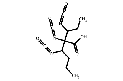 CCCC(N=C=O)C(N=C=O)(C(=O)O)C(CC)N=C=O